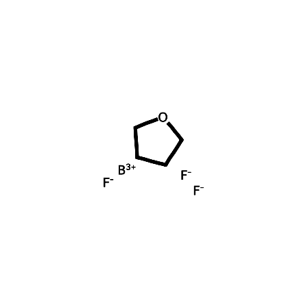 C1CCOC1.[B+3].[F-].[F-].[F-]